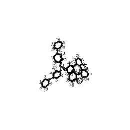 c1ccc(-c2ccc(N(c3ccc(-c4ccccc4)cc3)c3cccc(-c4cccc5sc6ccc7oc8ccccc8c7c6c45)c3)cc2)cc1